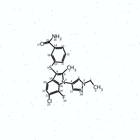 CCn1cc(-n2c(C)c(Sc3cccc(C(N)=O)c3)c3ccc(Cl)c(F)c32)cn1